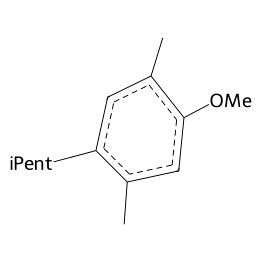 CCCC(C)c1cc(C)c(OC)cc1C